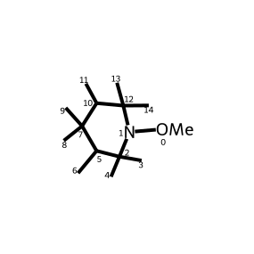 CON1C(C)(C)C(C)C(C)(C)C(C)C1(C)C